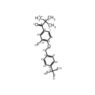 CC(C)(C)C(=O)c1ccc(OCc2ccc(C(F)(F)F)cc2)c(F)c1